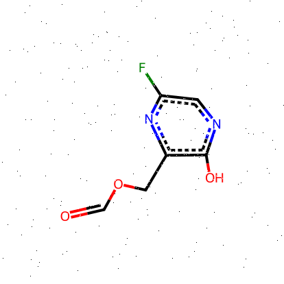 O=COCc1nc(F)cnc1O